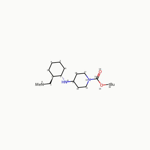 CNC[C@H]1CCCC[C@@H]1NC1CCN(C(=O)OC(C)(C)C)CC1